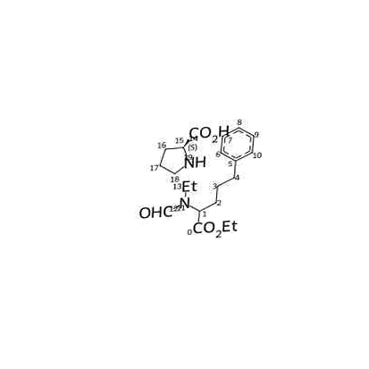 CCOC(=O)C(CCCc1ccccc1)N(C=O)CC.O=C(O)[C@@H]1CCCN1